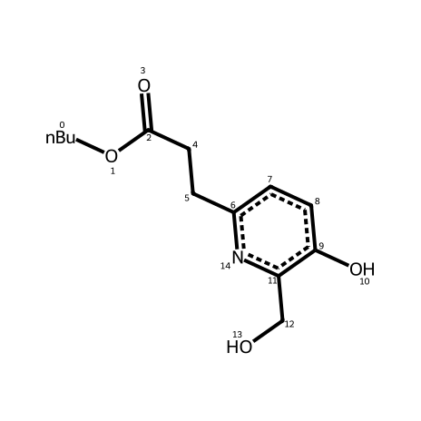 CCCCOC(=O)CCc1ccc(O)c(CO)n1